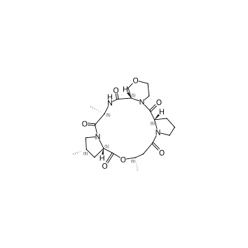 C[C@H]1C[C@H]2C(=O)O[C@@H](C)CC(=O)N3CCC[C@H]3C(=O)N3CCOC[C@H]3C(=O)N[C@@H](C)C(=O)N2C1